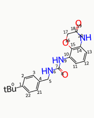 CC(C)(C)c1ccc(CNC(=O)Nc2cccc3c2OCC(=O)N3)cc1